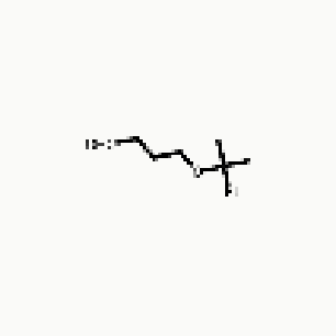 CCC(C)(C)OCCCC=O